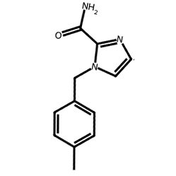 Cc1ccc(Cn2c[c]nc2C(N)=O)cc1